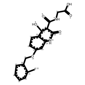 O=C(O)CNC(=O)c1c(O)c2ccc(OCc3ccccc3F)cc2[nH]c1=O